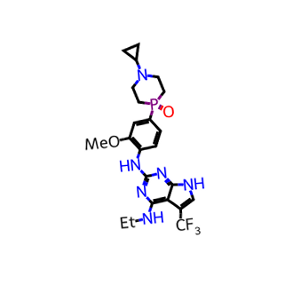 CCNc1nc(Nc2ccc(P3(=O)CCN(C4CC4)CC3)cc2OC)nc2[nH]cc(C(F)(F)F)c12